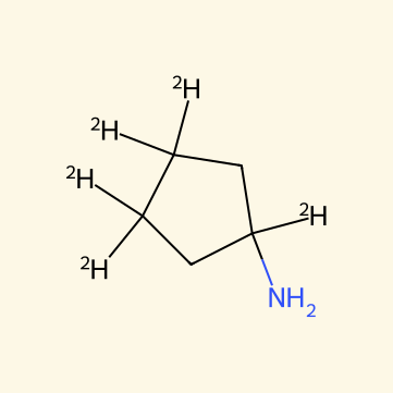 [2H]C1(N)CC([2H])([2H])C([2H])([2H])C1